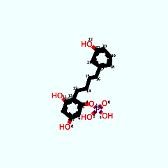 O=P(O)(O)Oc1cc(O)cc(O)c1CCCCc1cccc(O)c1